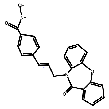 O=C(NO)c1ccc(/C=C/CN2C(=O)c3ccccc3Oc3ccccc32)cc1